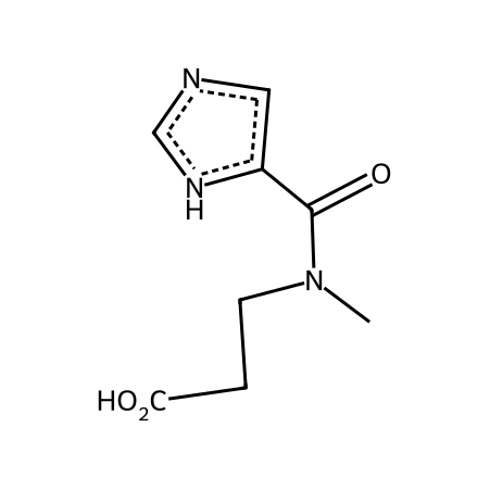 CN(CCC(=O)O)C(=O)c1cnc[nH]1